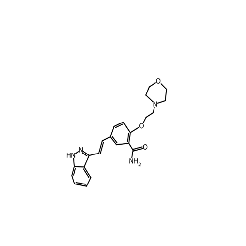 NC(=O)c1cc(/C=C/c2n[nH]c3ccccc23)ccc1OCCN1CCOCC1